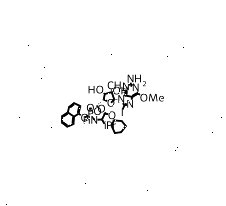 COc1nc(N)nc2c1nc(I)n2[C@@H]1O[C@H](COP(=O)(NC(C(=O)OC2CCCCC2)C(C)C)Oc2cccc3ccccc23)[C@@H](O)[C@@]1(C)O